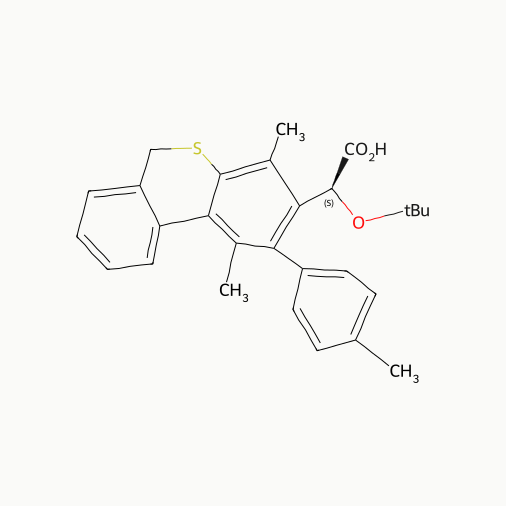 Cc1ccc(-c2c(C)c3c(c(C)c2[C@H](OC(C)(C)C)C(=O)O)SCc2ccccc2-3)cc1